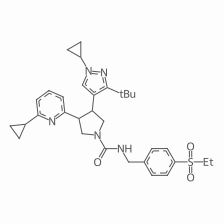 CCS(=O)(=O)c1ccc(CNC(=O)N2CC(c3cccc(C4CC4)n3)C(c3cn(C4CC4)nc3C(C)(C)C)C2)cc1